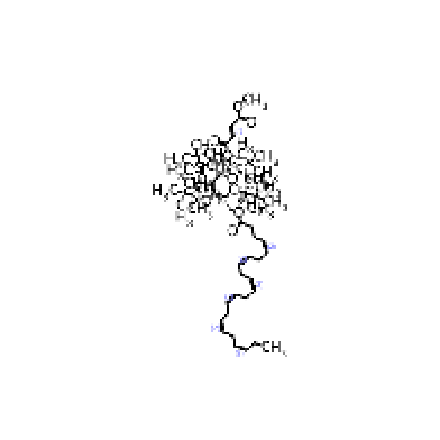 CC/C=C\C/C=C\C/C=C\C/C=C\C/C=C\C/C=C\CCC(=O)OC[C@@H](O[Si](C)(C)C(C)(C)C)[C@@H](O[Si](C)(C)C(C)(C)C)[C@H](O[Si](C)(C)C(C)(C)C)[C@@H](COC(=O)/C=C/C(=O)OC)O[Si](C)(C)C(C)(C)C